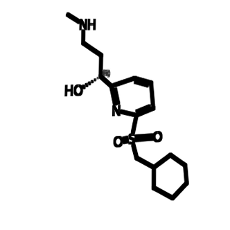 CNCC[C@@H](O)c1cccc(S(=O)(=O)CC2CCCCC2)n1